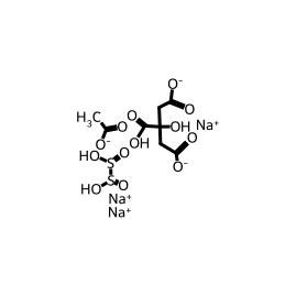 CC(=O)[O-].O=C([O-])CC(O)(CC(=O)[O-])C(=O)O.O=S(O)S(=O)O.[Na+].[Na+].[Na+]